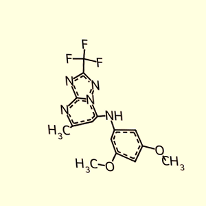 COc1cc(Nc2cc(C)nc3nc(C(F)(F)F)nn23)cc(OC)c1